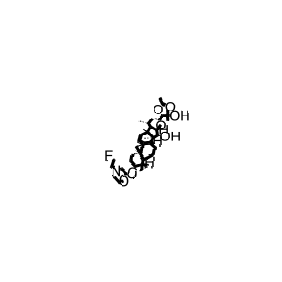 CC(=O)O[C@@H]([C@H]1C[C@@H](C)C2[C@H](O1)[C@H](O)[C@@]1(C)[C@@H]3CC[C@H]4C(C)(C)[C@@H](OC5CN(CCF)CCO5)CC[C@@]45C[C@@]35CC[C@]21C)C(C)(C)O